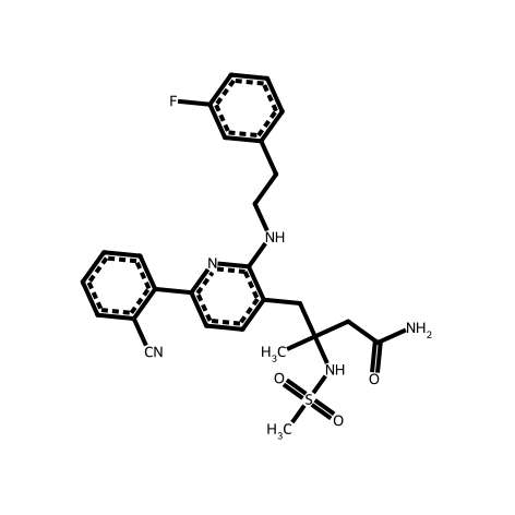 CC(CC(N)=O)(Cc1ccc(-c2ccccc2C#N)nc1NCCc1cccc(F)c1)NS(C)(=O)=O